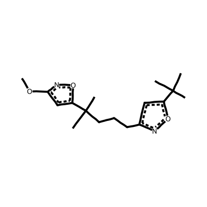 COc1cc(C(C)(C)CCCc2cc(C(C)(C)C)on2)on1